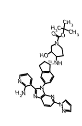 CC(C)(C)OC(=O)N1CCC(N[C@H]2CCc3cc(-n4c(-c5cccnc5N)nc5ccc(-n6cccn6)nc54)ccc32)C(O)C1